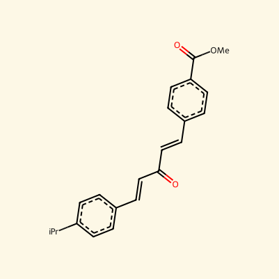 COC(=O)c1ccc(C=CC(=O)C=Cc2ccc(C(C)C)cc2)cc1